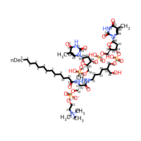 CCCCCCCCCCCCCCCCCCCCCC(=O)N[C@@H](COP(=O)([O-])OCC[N+](C)(C)C)C(=O)NCCCCC(CO)COP(=O)(O)O[C@@H]1C[C@H](n2cc(C)c(=O)[nH]c2=O)O[C@@H]1COP(=O)(O)O[C@@H]1C[C@H](n2cc(C)c(=O)[nH]c2=O)O[C@@H]1COP(C)(=O)O